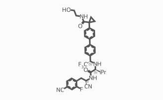 CC(C)[C@H](N[C@@H](c1ccc(-c2ccc(C3(C(=O)NCCO)CC3)cc2)cc1)C(F)(F)F)C(=O)N[C@H](C#N)Cc1ccc(C#N)cc1F